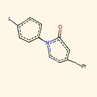 CC(C)c1ccn(-c2ccc(I)cc2)c(=O)c1